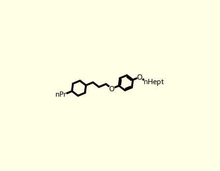 CCCCCCCOc1ccc(OCCCC2CCC(CCC)CC2)cc1